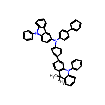 CC1(C)c2ccccc2N(c2ccccc2)c2cc(-c3ccc(N(c4ccc(-c5ccccc5)cc4)c4ccc5c(c4)c4ccccc4n5-c4ccccc4)cc3)ccc21